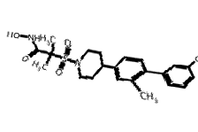 Cc1cc(C2CCN(S(=O)(=O)C(C)(C)C(=O)NO)CC2)ccc1-c1cccc(C#N)c1